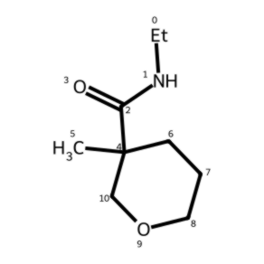 CCNC(=O)C1(C)CCCOC1